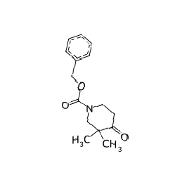 CC1(C)CN(C(=O)OCc2ccccc2)CCC1=O